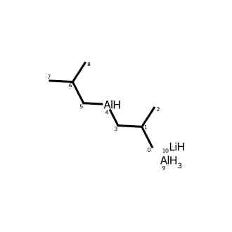 CC(C)[CH2][AlH][CH2]C(C)C.[AlH3].[LiH]